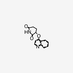 O=C1CCC(Oc2ccnc3ccccc23)C(=O)N1